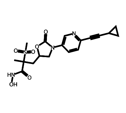 CC(CC1CN(c2ccc(C#CC3CC3)nc2)C(=O)O1)(C(=O)NO)S(C)(=O)=O